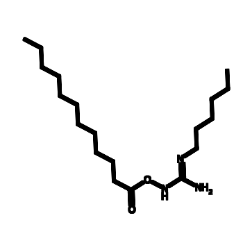 CCCCCCCCCCCC(=O)ONC(N)=NCCCCCC